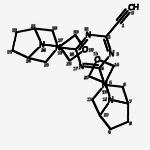 C#Cc1nc(N2CC3CCC(C2)N3C2COC2)nc(N2CC3CCC(C2)N3C2COC2)n1